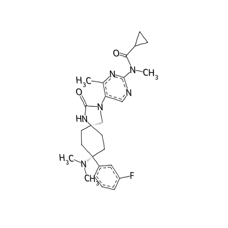 Cc1nc(N(C)C(=O)C2CC2)ncc1N1C[C@]2(CC[C@@](c3cccc(F)c3)(N(C)C)CC2)NC1=O